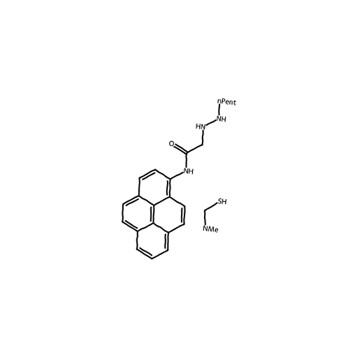 CCCCCNNCC(=O)Nc1ccc2ccc3cccc4ccc1c2c34.CNCS